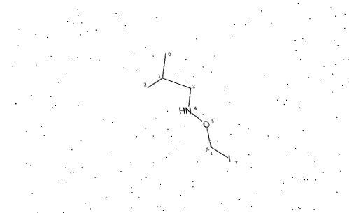 CC(C)CNOCI